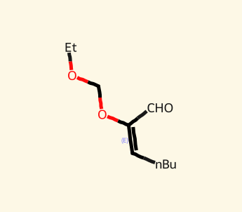 CCCC/C=C(\C=O)OCOCC